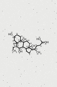 CC[C@@H]1[C@H](O)C2C3CC[C@H]([C@H](C)CCC(O)O)[C@@]3(C)CCC2[C@@]2(C)CC[C@@H](O)C[C@@H]12